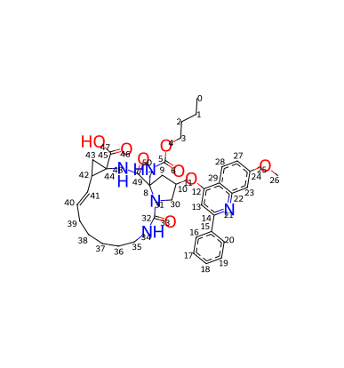 CCCCOC(=O)NC12CC(Oc3cc(-c4ccccc4)nc4cc(OC)ccc34)CN1C(=O)NCCCCC/C=C/C1CC1(C(=O)O)NC2=O